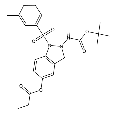 CCC(=O)Oc1ccc2c(c1)CN(NC(=O)OC(C)(C)C)N2S(=O)(=O)c1cccc(C)c1